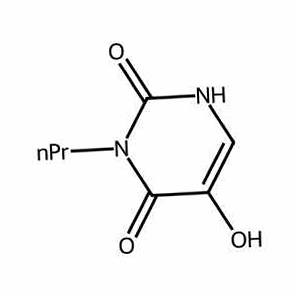 CCCn1c(=O)[nH]cc(O)c1=O